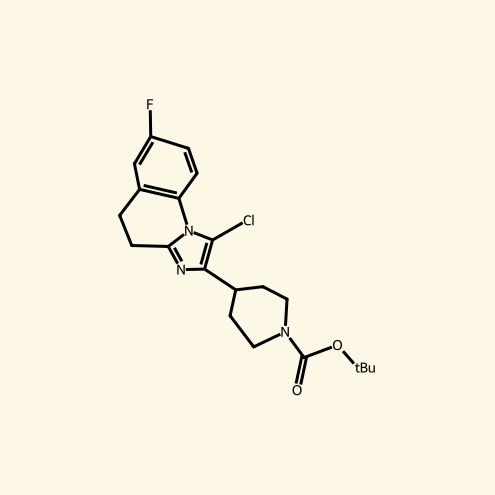 CC(C)(C)OC(=O)N1CCC(c2nc3n(c2Cl)-c2ccc(F)cc2CC3)CC1